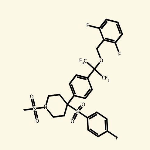 CS(=O)(=O)N1CCC(c2ccc(C(OCc3c(F)cccc3F)(C(F)(F)F)C(F)(F)F)cc2)(S(=O)(=O)c2ccc(F)cc2)CC1